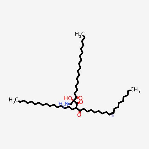 CCCCCCCC/C=C\CCCCCCCC(=O)C(CCCCCCCCCCCCCCCC)C(=O)C(O)(CN)C(=O)CCCCCCCCCCCCCCCCC